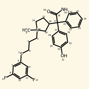 C[N+]1(CCCSc2cc(F)cc(F)c2)CCC(C(C(N)=O)(c2ccccc2)c2ccc(O)cc2)C1